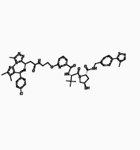 Cc1ccsc1-c1ccc(CNC(=O)[C@@H]2C[C@@H](O)CN2C(=O)[C@@H](NC(=O)c2cccc(OCCNC(=O)CC3N=C(c4ccc(Cl)cc4)c4c(sc(C)c4C)-n4c(C)nnc43)n2)C(C)(C)C)cc1